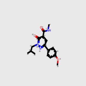 CNC(=O)c1cc(-c2ccc(OC)cc2)nn(CC(C)C)c1=O